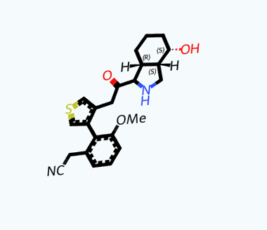 COc1cccc(CC#N)c1-c1cscc1CC(=O)C1NC[C@H]2[C@@H](O)CCC[C@@H]12